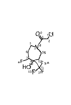 O=C(CCl)N1CCC(F)C(O)(C(F)(F)F)CC1